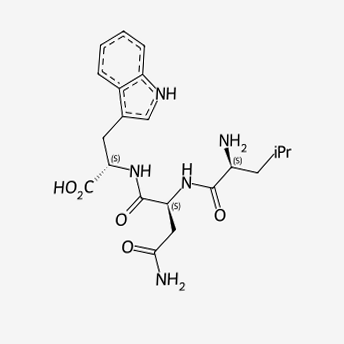 CC(C)C[C@H](N)C(=O)N[C@@H](CC(N)=O)C(=O)N[C@@H](Cc1c[nH]c2ccccc12)C(=O)O